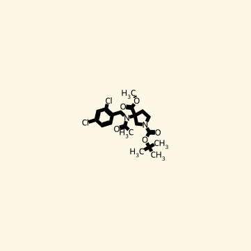 COC(=O)C1(N(Cc2ccc(Cl)cc2Cl)C(C)=O)CCN(C(=O)OC(C)(C)C)C1